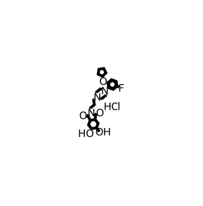 Cl.O=C1C2CC(O)C(O)CC2C(=O)N1CCCN1CCN(c2cc(F)ccc2OC2CCCC2)CC1